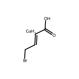 O=C(O)C=CCBr.[GaH3]